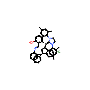 Cc1cc(C)c(N2CCN(c3c(C)cc(C)cc3C)[C]2=[Ru](=[C]2C=C(c3ccccc3)c3ccccc32)[c]2cccc(O)c2C=Nc2ccccc2C)c(C)c1.Cl